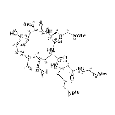 CNCCCC(CC(=O)NCCNC)NC(=O)[C@@H]1Cc2cc(ccc2O)-c2ccc(O)c(c2)C[C@H](NC)C(=O)N[C@@H](CCCNC)C(=O)N1